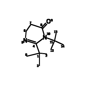 CC(C)(C)C1=NCCC(=O)N1C(C)(C)C